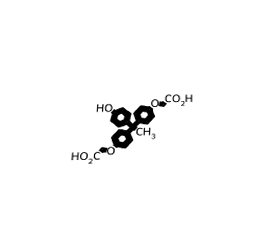 CC(c1ccc(O)cc1)(c1ccc(OCC(=O)O)cc1)c1ccc(OCC(=O)O)cc1